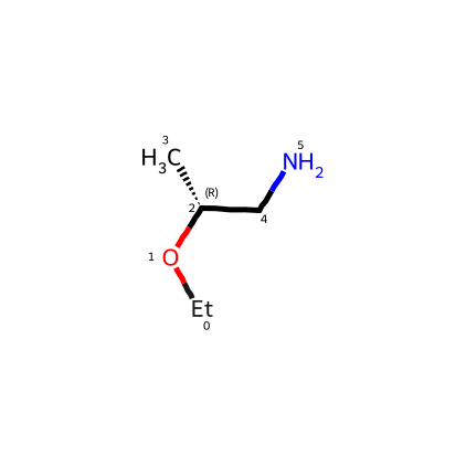 CCO[C@H](C)CN